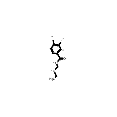 CCOCOC(=O)c1ccc(F)c(F)c1